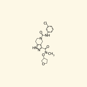 CN(OC1CCOC1)C(=O)c1n[nH]c2c1CN(C(=O)Nc1cccc(Cl)c1)CC2